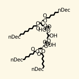 CCCCCCCCCCCCCCCCCC(=O)O[C@H](COC(=O)CCCCCCCCCCCCCCC)COP(=O)(O)OC[C@@H](O)COP(=O)(O)OC[C@@H](COC(=O)CCCCCCCCCCCCCCC)OC(=O)CCCCCCCCCCCCCCC